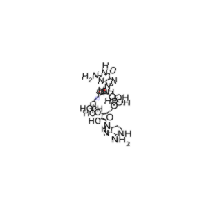 Nc1nc2c(ncn2C2=C3O[PH](O)(O)OCc4oc(N5N=NC6C(N)NCCC65)c(O)c4O[PH](O)(O)O/C=C(/O2)[C@H]3O)c(=O)[nH]1